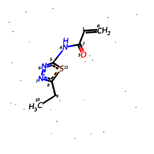 C=CC(=O)Nc1nnc(CC)s1